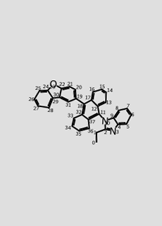 CCc1nc2ccccc2n1-c1c2ccccc2c(-c2ccc3oc4ccccc4c3c2)c2ccccc12